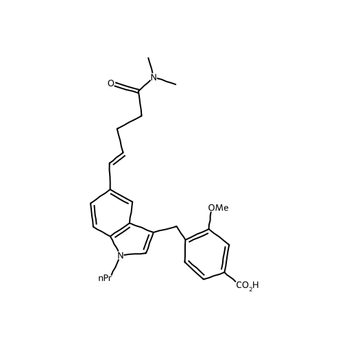 CCCn1cc(Cc2ccc(C(=O)O)cc2OC)c2cc(C=CCCC(=O)N(C)C)ccc21